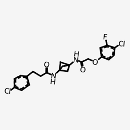 O=C(CCc1ccc(Cl)cc1)NC12CC(NC(=O)COc3ccc(Cl)c(F)c3)(C1)C2